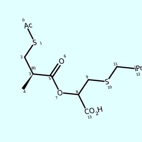 CC(=O)SC[C@H](C)C(=O)OC(CSCC(C)C)C(=O)O